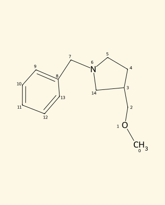 COCC1CCN(Cc2ccccc2)C1